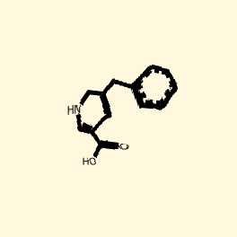 O=C(O)C1=CNCC(Cc2ccccc2)=C1